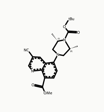 COC(=O)c1ccc(N2C[C@@H](C)N(C(=O)OC(C)(C)C)[C@@H](C)C2)c2cc(C#N)cnc12